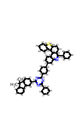 CC1(C)c2ccccc2-c2cc(-c3nc(-c4ccccc4)nc(-c4ccc(-c5ccc6c(c5)nc(-c5ccccc5)c5ccc7sc8ccccc8c7c56)cc4)n3)ccc21